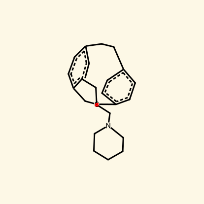 c1cc2ccc1CCc1ccc(c(CCCN3CCCCC3)c1)CC2